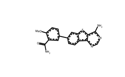 COc1ccc(-c2ccc3c(c2)sc2c(N)ncnc23)cc1C(N)=O